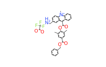 Cc1cc(C(=O)OCc2ccccc2)cc(C)c1OC(=O)c1c2ccccc2[n+](C)c2ccc(CN)cc12.O=C([O-])C(F)(F)F